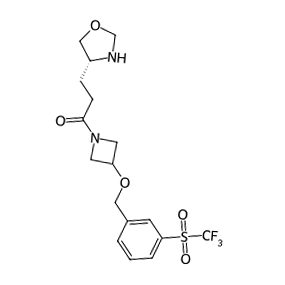 O=C(CC[C@@H]1COCN1)N1CC(OCc2cccc(S(=O)(=O)C(F)(F)F)c2)C1